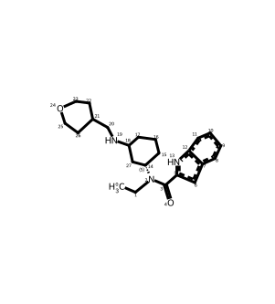 CCN(C(=O)c1cc2ccccc2[nH]1)[C@H]1CCCC(NCC2CCOCC2)C1